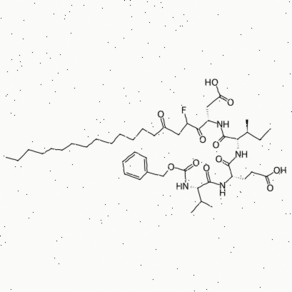 CCCCCCCCCCCCCCC(=O)CC(F)C(=O)[C@H](CC(=O)O)NC(=O)[C@@H](NC(=O)[C@H](CCC(=O)O)NC(=O)[C@@H](NC(=O)OCc1ccccc1)C(C)C)[C@@H](C)CC